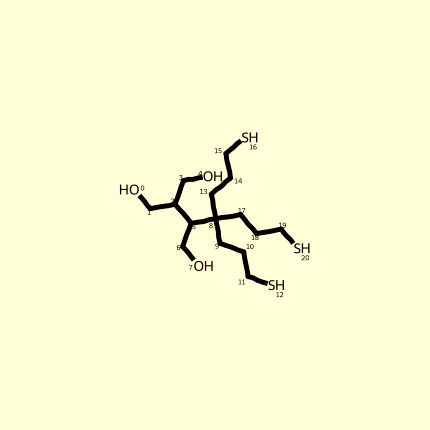 OCC(CO)C(CO)C(CCCS)(CCCS)CCCS